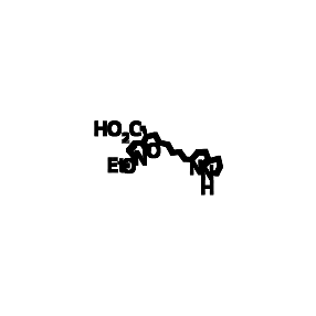 CCOc1ccc([C@@H](CC(=O)O)CC(=O)CCCCc2ccc3c(n2)NCCC3)cn1